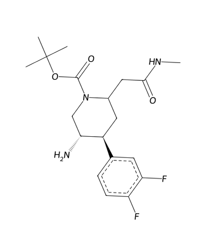 CNC(=O)CC1C[C@@H](c2ccc(F)c(F)c2)[C@H](N)CN1C(=O)OC(C)(C)C